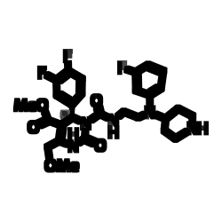 COCC1=C(C(=O)OC)[C@H](c2ccc(F)c(F)c2)N(C(=O)NCCN(c2cccc(F)c2)C2CCNCC2)C(=O)N1